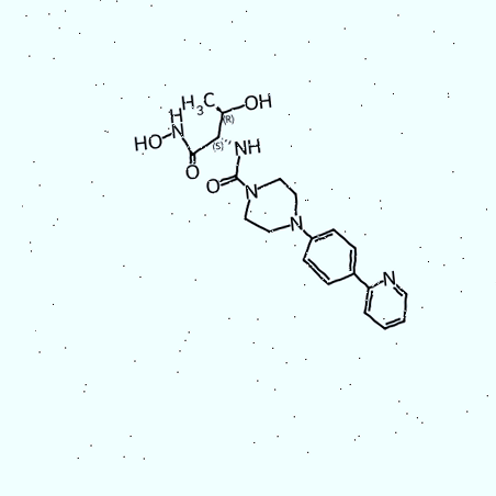 C[C@@H](O)[C@H](NC(=O)N1CCN(c2ccc(-c3ccccn3)cc2)CC1)C(=O)NO